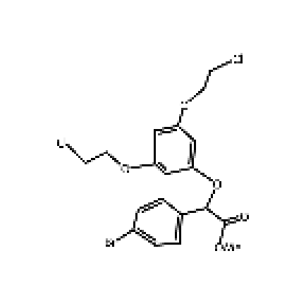 COC(=O)C(Oc1cc(OCCCl)cc(OCCCl)c1)c1ccc(Br)cc1